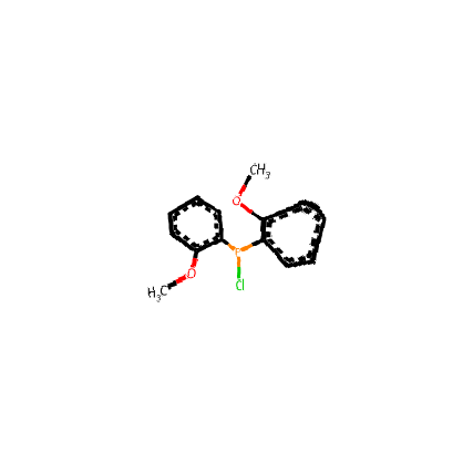 COc1ccccc1P(Cl)c1ccccc1OC